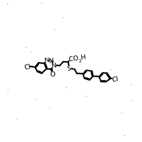 O=C(O)C(CCn1nnc2cc(Cl)ccc2c1=O)SCCc1ccc(-c2ccc(Cl)cc2)cc1